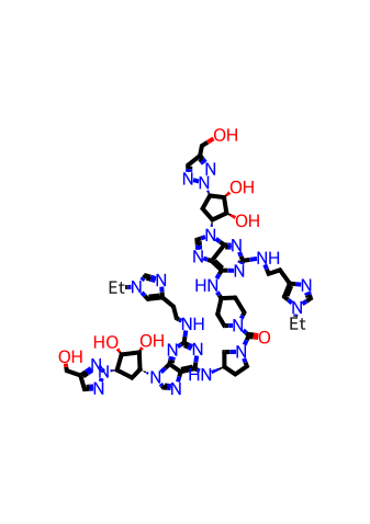 CCn1cnc(CCNc2nc(NC3CCN(C(=O)N4CC[C@@H](Nc5nc(NCCc6cn(CC)cn6)nc6c5ncn6[C@@H]5C[C@H](n6ncc(CO)n6)[C@@H](O)[C@H]5O)C4)CC3)c3ncn([C@@H]4C[C@H](n5ncc(CO)n5)[C@@H](O)[C@H]4O)c3n2)c1